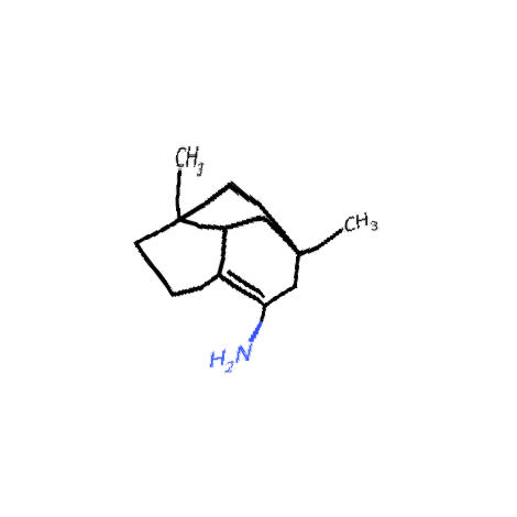 CC12CC(N)=C3CCC(C)(C1)C3C2